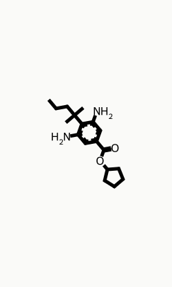 CCCC(C)(C)c1c(N)cc(C(=O)OC2CCCC2)cc1N